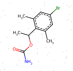 Cc1cc(Br)cc(C)c1C(C)OC(N)=O